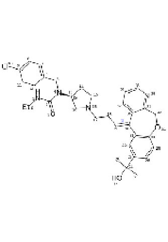 CCNC(=O)N(CC1=CC=C(Cl)CC1)[C@H]1CCN(CC/C=C2/c3cc(C(C)(C)O)ccc3OCc3ncccc32)C1